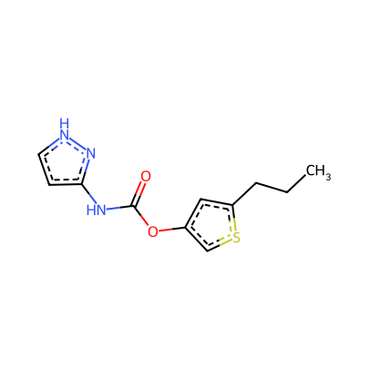 CCCc1cc(OC(=O)Nc2cc[nH]n2)cs1